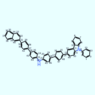 c1ccc(-n2c3ccccc3c3cc(-c4ccc(-c5ccc(Nc6ccc(-c7ccc(-c8ccc9ccccc9c8)cc7)cc6)cc5)cc4)ccc32)cc1